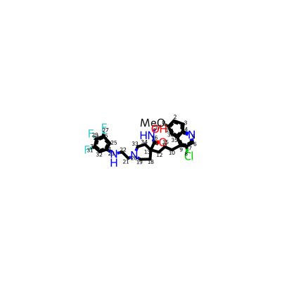 COc1ccc2ncc(Cl)c(CCCC3(C(=O)NO)CCN(CCNc4cc(F)c(F)c(F)c4)CC3)c2c1